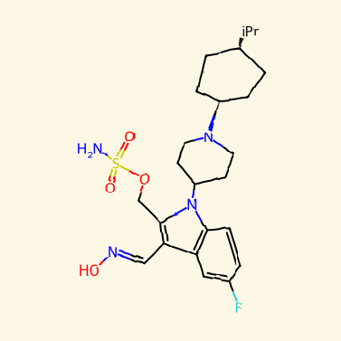 CC(C)[C@H]1CC[C@@H](N2CCC(n3c(COS(N)(=O)=O)c(C=NO)c4cc(F)ccc43)CC2)CC1